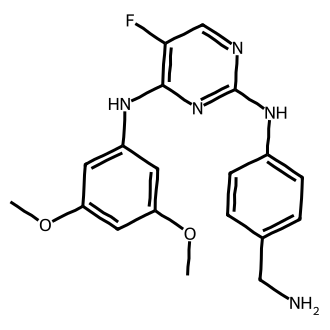 COc1cc(Nc2nc(Nc3ccc(CN)cc3)ncc2F)cc(OC)c1